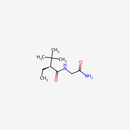 CC[C@H](C(=O)NCC(N)=O)C(C)(C)C